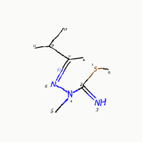 CSC(=N)N(C)/N=C(\C)C(C)C